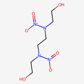 O=[N+]([O-])N(CCO)CCN(CCO)[N+](=O)[O-]